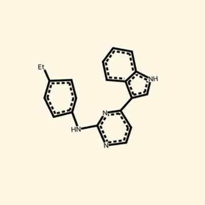 CCc1ccc(Nc2nccc(-c3c[nH]c4ccccc34)n2)cc1